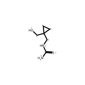 NC(=S)NCC1(CO)CC1